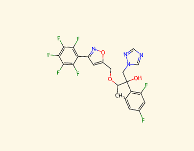 CC(OCc1cc(-c2c(F)c(F)c(F)c(F)c2F)no1)C(O)(Cn1cncn1)c1ccc(F)cc1F